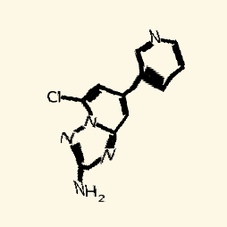 Nc1nc2cc(-c3cccnc3)cc(Cl)n2n1